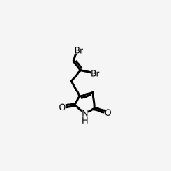 O=C1C=C(CC(Br)=CBr)C(=O)N1